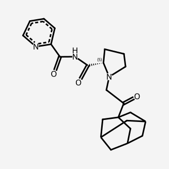 O=C(NC(=O)[C@@H]1CCCN1CC(=O)C12CC3CC(CC(C3)C1)C2)c1ccccn1